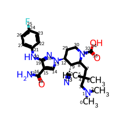 CN(C)CC(C)(C)CC1[C@H](C#N)[C@@H](n2cc(C(N)=O)c(Nc3ccc(F)cc3)n2)CCN1C(=O)O